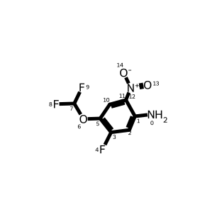 Nc1cc(F)c(OC(F)F)cc1[N+](=O)[O-]